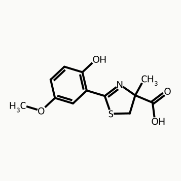 COc1ccc(O)c(C2=NC(C)(C(=O)O)CS2)c1